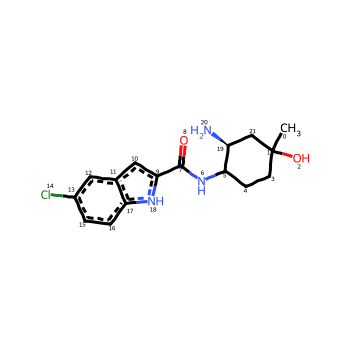 CC1(O)CCC(NC(=O)c2cc3cc(Cl)ccc3[nH]2)[C@@H](N)C1